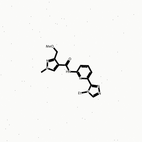 CCn1cnnc1-c1cccc(NC(=O)c2cn(C)nc2COC)n1